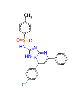 Cc1ccc(S(=O)(=O)NC2=NC3=NC(c4ccccc4)=CC(c4ccc(Cl)cc4)N3N2)cc1